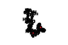 C/C(=C\[C@H](C(C)C)N(C)C(=O)[C@@H](NC(=O)[C@@H](N(C)C(=O)OC(C)(C)C)C(C)(C)c1ccccc1)C(C)(C)C)C(=O)NS(=O)(=O)Cc1ccc(CNC(=O)[C@H](CCCNC(N)=O)NC(=O)[C@@H](NCCCCCN2C(=O)C=CC2=O)C(C)C)cc1